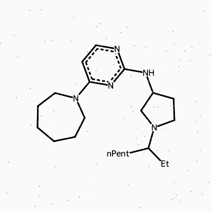 CCCCCC(CC)N1CCC(Nc2nccc(N3CCCCCC3)n2)C1